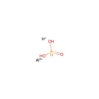 O=[PH](O)O.[Al+3].[H+]